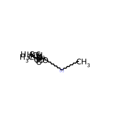 CCCCCCCCCC/C=C\CCCCCCCCCOC[C@H](COC)OP(=O)([O-])OCC[N+](C)(C)C